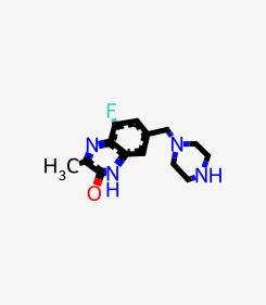 Cc1nc2c(F)cc(CN3CCNCC3)cc2[nH]c1=O